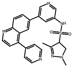 CC1=NN(C)CC1S(=O)(=O)Nc1cncc(-c2ccc3nccc(-c4ccncc4)c3c2)c1